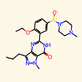 CCCc1nn(C)c2c(=O)[nH]c(-c3cc([S+]([O-])N4CCN(C)CC4)ccc3OCC)nc12